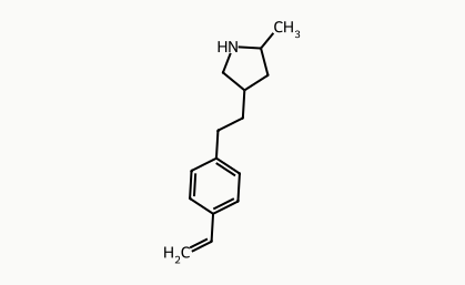 C=Cc1ccc(CCC2CNC(C)C2)cc1